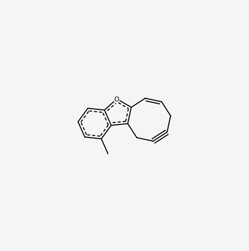 Cc1cccc2oc3c(c12)CC#CC/C=C\3